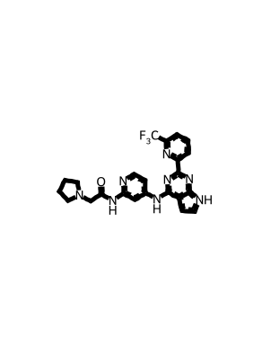 O=C(CN1CCCC1)Nc1cc(Nc2nc(-c3cccc(C(F)(F)F)n3)nc3[nH]ccc23)ccn1